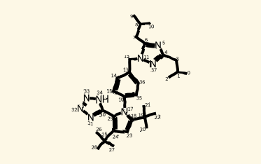 CC(C)Cc1nc(CC(C)C)n(Cc2ccc(-n3c(C(C)(C)C)cc(C(C)(C)C)c3-c3nnn[nH]3)cc2)n1